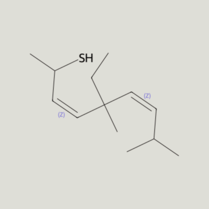 CCC(C)(/C=C\C(C)C)/C=C\C(C)S